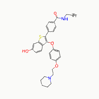 CC(C)CNC(=O)c1ccc(-c2sc3cc(O)ccc3c2Oc2ccc(OCCN3CCCCC3)cc2)cc1